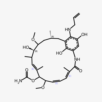 C=CCNc1c(O)cc2c(O)c1C[C@@H](C)CC(OC)[C@H](O)C(C)/C=C(\C)C(OC(N)=O)C(OC)/C=C\C=C(/C)C(=O)N2